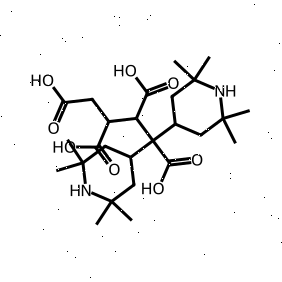 CC1(C)CC(C(C(=O)O)(C2CC(C)(C)NC(C)(C)C2)C(C(=O)O)C(CC(=O)O)C(=O)O)CC(C)(C)N1